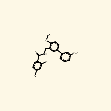 CCCOc1ccc(-c2cccc(C=O)c2)cc1CNC(=O)c1ccc(Cl)cc1Cl